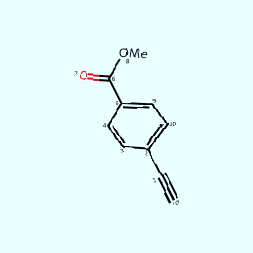 [C]#Cc1ccc(C(=O)OC)cc1